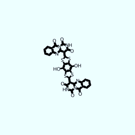 O=c1[nH]c(=O)n2c(=O)c3ccccc3nc2c1=C1Sc2c(O)c3c(c(O)c2S1)SC(=c1c(=O)[nH]c(=O)n2c(=O)c4ccccc4nc12)S3